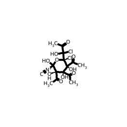 [C-]#[N+]C1(O)O[C@](Cl)(C(O)(Cl)C(C)=O)[C@](O)(C(C)=O)[C@@](O)(C(C)=O)[C@]1(O)C(C)=O